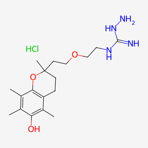 Cc1c(C)c2c(c(C)c1O)CCC(C)(CCOCCNC(=N)NN)O2.Cl